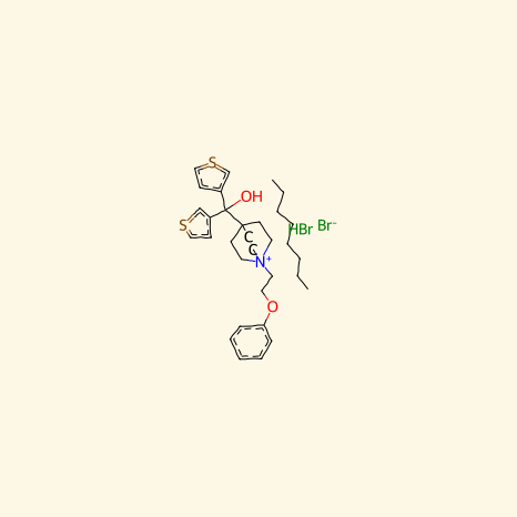 Br.CCCCCCCC.OC(c1ccsc1)(c1ccsc1)C12CC[N+](CCOc3ccccc3)(CC1)CC2.[Br-]